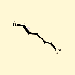 CC/[C]=C/CCCCCCC